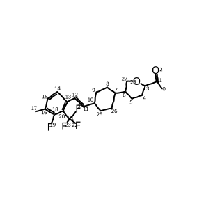 CC(=O)C1CCC(C2CCC(/C=C/c3ccc(C)c(F)c3C(F)(F)F)CC2)CO1